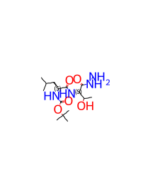 CC(C)C[C@H](NC(=O)OC(C)(C)C)C(=O)N[C@H](C(=O)NN)C(C)O